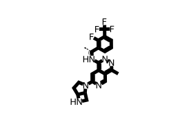 Cc1nnc(N[C@H](C)c2cccc(C(F)(F)F)c2F)c2cc(N3CCC4NCC43)ncc12